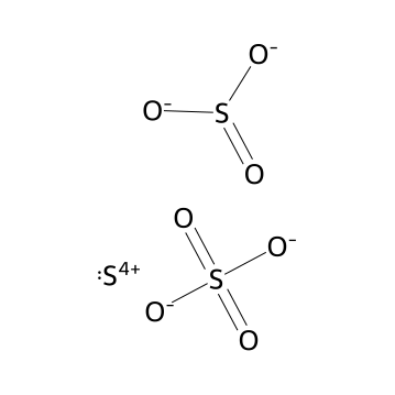 O=S(=O)([O-])[O-].O=S([O-])[O-].[S+4]